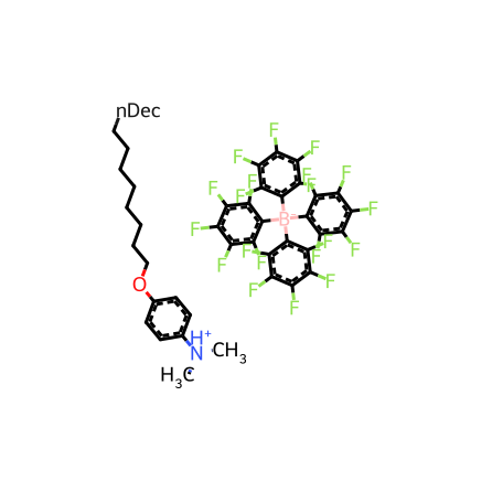 CCCCCCCCCCCCCCCCCCOc1ccc([NH+](C)C)cc1.Fc1c(F)c(F)c([B-](c2c(F)c(F)c(F)c(F)c2F)(c2c(F)c(F)c(F)c(F)c2F)c2c(F)c(F)c(F)c(F)c2F)c(F)c1F